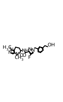 CN1C(=O)C(NC(=O)c2nn(Cc3cccc(CCO)c3)cc2F)CCc2c1cnn2C